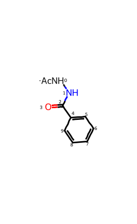 CC(=O)[N]NC(=O)c1ccccc1